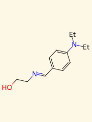 CCN(CC)c1ccc(C=NCCO)cc1